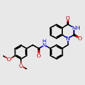 COc1ccc(CC(=O)Nc2cccc(Cn3c(=O)[nH]c(=O)c4ccccc43)c2)cc1OC